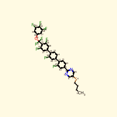 CCCCSc1cnc(-c2ccc(-c3ccc(-c4cc(F)c(C(F)(F)Oc5cc(F)c(F)c(F)c5)c(F)c4)c(F)c3)c(F)c2)nc1